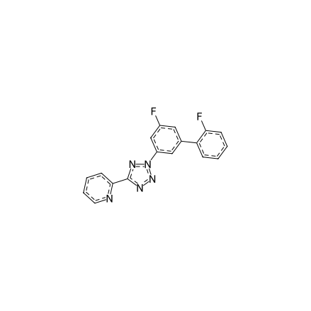 Fc1cc(-c2ccccc2F)cc(-n2nnc(-c3ccccn3)n2)c1